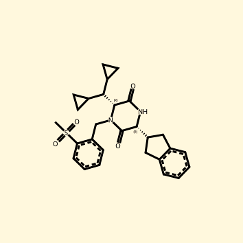 CS(=O)(=O)c1ccccc1CN1C(=O)[C@@H](C2Cc3ccccc3C2)NC(=O)[C@H]1C(C1CC1)C1CC1